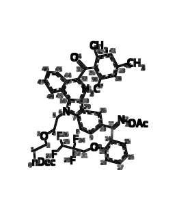 CCCCCCCCCCCCOCCn1c2ccc(/C(=N/OC(C)=O)c3ccccc3OCC(F)(F)C(F)F)cc2c2cc(C(=O)c3c(C)cc(C)cc3C)c3ccccc3c21